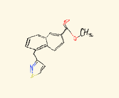 COC(=O)c1ccc2c(-c3ccsn3)cccc2c1